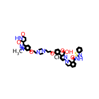 Cc1c(OCCCN2CCN(CCOc3ccc4c(C5CCC(=O)NC5=O)nn(C)c4c3)CC2)cccc1-c1ccc(N2CCc3cccc(C(=O)Nc4nc5ccccc5s4)c3C2)nc1C(=O)O